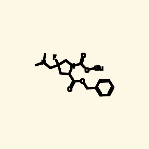 CN(C)CC1(F)CC(C(=O)OCc2ccccc2)N(C(=O)OC(C)(C)C)C1